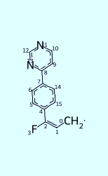 [CH2]/C=C(/F)c1ccc(-c2ccncn2)cc1